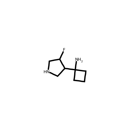 NC1(C2CNCC2F)CCC1